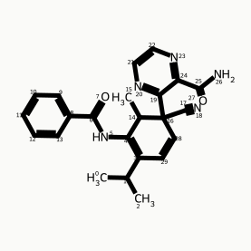 CC(C)C1=C(NC(=O)c2ccccc2)C(C)C(C#N)(c2nccnc2C(N)=O)C=C1